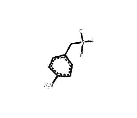 Nc1ccc(CS(F)(F)F)cc1